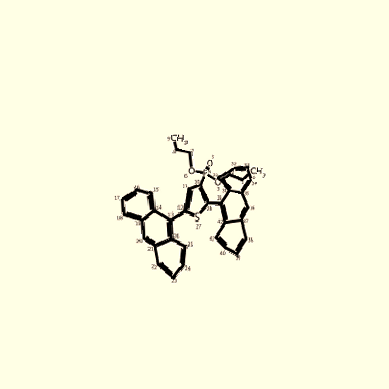 CCCOP(=O)(OCCC)c1cc(-c2c3ccccc3cc3ccccc23)sc1-c1c2ccccc2cc2ccccc12